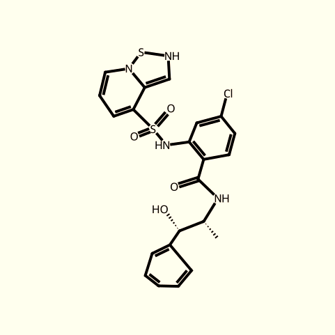 C[C@@H](NC(=O)c1ccc(Cl)cc1NS(=O)(=O)C1=CC=CN2SNC=C12)[C@@H](O)c1ccccc1